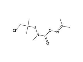 CC(C)=NOC(=O)N(C)SC(C)(C)CCl